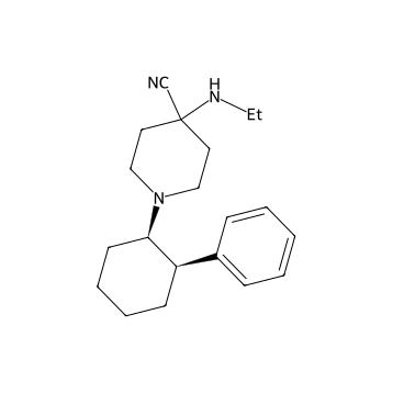 CCNC1(C#N)CCN([C@@H]2CCCC[C@@H]2c2ccccc2)CC1